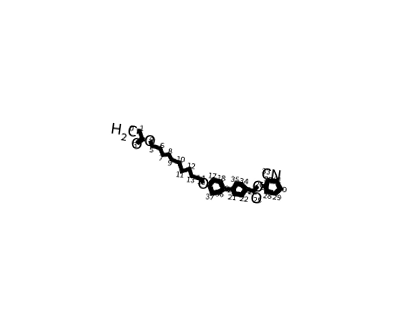 C=CC(=O)OCCCCCCCCCCOc1ccc(-c2ccc(C(=O)Oc3ccccc3C#N)cc2)cc1